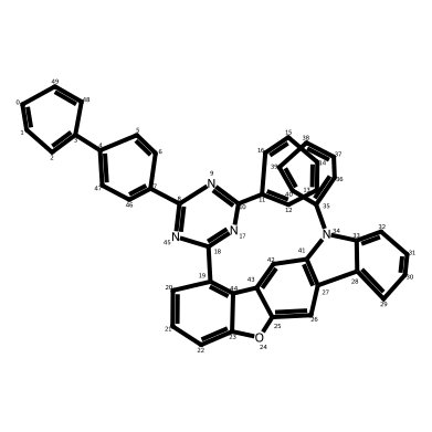 c1ccc(-c2ccc(-c3nc(-c4ccccc4)nc(-c4cccc5oc6cc7c8ccccc8n(-c8ccccc8)c7cc6c45)n3)cc2)cc1